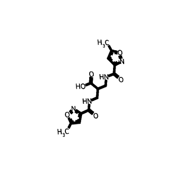 Cc1cc(C(=O)NCC(CNC(=O)c2cc(C)on2)C(=O)O)no1